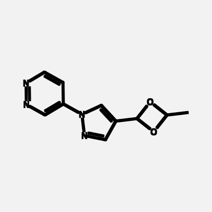 CC1OC(c2cnn(-c3ccnnc3)c2)O1